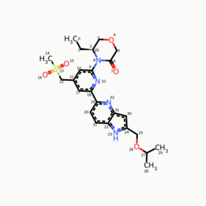 CC[C@H]1COCC(=O)N1c1cc(CS(C)(=O)=O)cc(-c2ccc3[nH]c(COC(C)C)cc3n2)n1